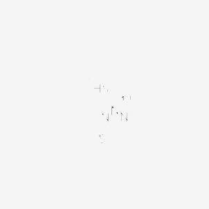 C#CC.Sc1nnco1.c1cscn1